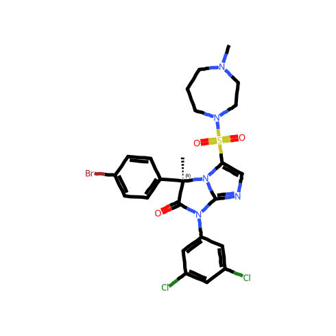 CN1CCCN(S(=O)(=O)c2cnc3n2[C@](C)(c2ccc(Br)cc2)C(=O)N3c2cc(Cl)cc(Cl)c2)CC1